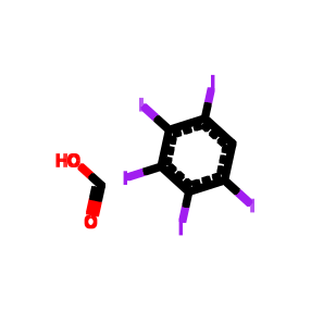 Ic1cc(I)c(I)c(I)c1I.O=CO